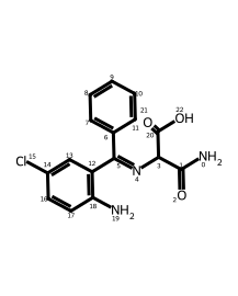 NC(=O)C(N=C(c1ccccc1)c1cc(Cl)ccc1N)C(=O)O